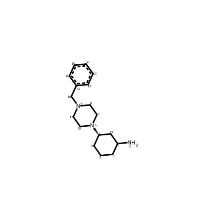 NC1CCC[C@@H](N2CCN(Cc3ccccc3)CC2)C1